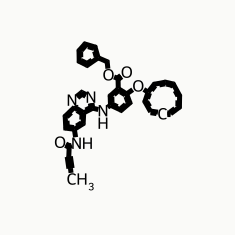 CC#CC(=O)Nc1ccc2ncnc(Nc3ccc(Oc4ccccccccc4)c(C(=O)OCc4ccccc4)c3)c2c1